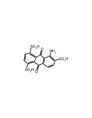 Nc1c(S(=O)(=O)O)ccc2c1C(=O)c1c(S(=O)(=O)O)ccc(S(=O)(=O)O)c1C2=O